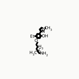 CCc1cc(-c2ccn(C)n2)c(O)cc1OCCCCC(C)(C)CN